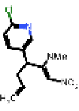 C=CCC(/C(=C/[N+](=O)[O-])NC)c1ccc(Cl)nc1